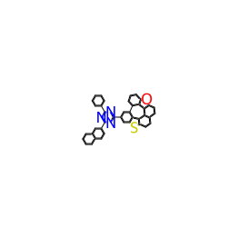 c1ccc(-c2nc(-c3ccc4ccccc4c3)nc(-c3cc4c5c(c3)sc3ccc6ccc7oc8cccc-4c8c7c6c35)n2)cc1